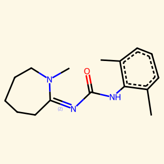 Cc1cccc(C)c1NC(=O)/N=C1/CCCCCN1C